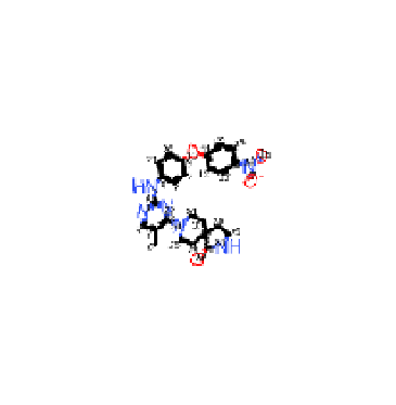 Cc1cnc(Nc2ccc(Oc3ccc([N+](=O)[O-])cc3)cc2)nc1N1CCC2(CCNC2=O)CC1